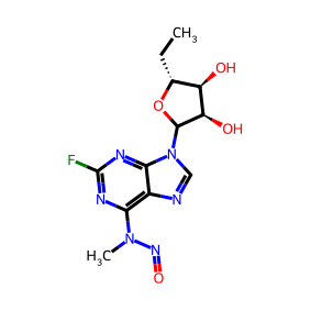 CC[C@H]1OC(n2cnc3c(N(C)N=O)nc(F)nc32)[C@H](O)[C@@H]1O